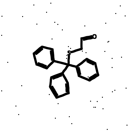 O=CCSC(c1ccccc1)(c1ccccc1)c1ccccc1